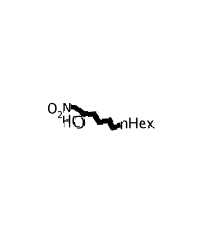 CCCCCCCCCCC(O)C[N+](=O)[O-]